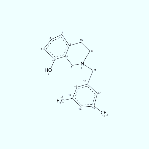 Oc1cccc2c1CN(Cc1cc(C(F)(F)F)cc(C(F)(F)F)c1)CC2